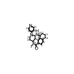 CN(C(=O)c1ccc2c(c1)C(N)CCC2)C1CCN(c2ccncc2)CC1